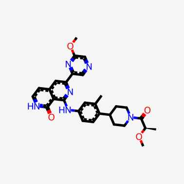 COc1cncc(-c2cc3cc[nH]c(=O)c3c(Nc3ccc(C4CCN(C(=O)[C@@H](C)OC)CC4)c(C)c3)n2)n1